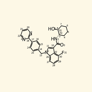 O=C(N[C@H]1CCCC[C@@H]1O)c1cn(Cc2ccc(-c3ncccn3)cc2)c2cccc(F)c12